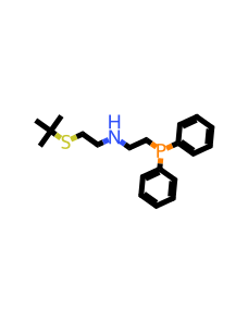 CC(C)(C)SCCNCCP(c1ccccc1)c1ccccc1